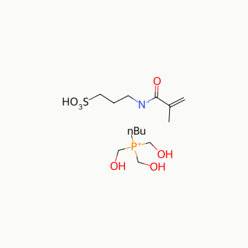 C=C(C)C(=O)[N-]CCCS(=O)(=O)O.CCCC[P+](CO)(CO)CO